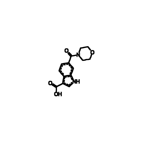 O=C(O)c1c[nH]c2cc(C(=O)N3CCOCC3)ccc12